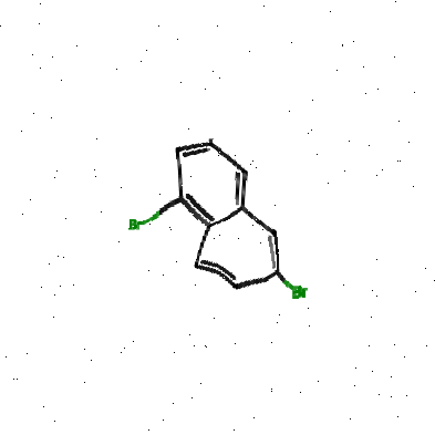 Brc1ccc2c(Br)c[c]cc2c1